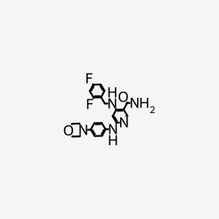 NC(=O)c1cnc(Nc2ccc(N3CCOCC3)cc2)cc1NCc1ccc(F)cc1F